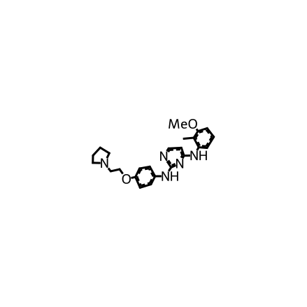 COc1cccc(Nc2ccnc(Nc3ccc(OCCN4CCCC4)cc3)n2)c1C